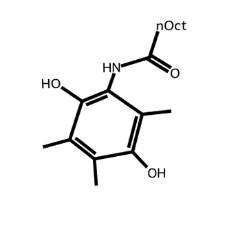 CCCCCCCCC(=O)Nc1c(C)c(O)c(C)c(C)c1O